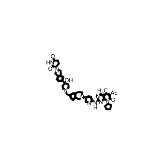 CC(=O)c1c(C)c2cnc(Nc3ccc(N4CCc5cc(CN6CCC(O)(c7ccc8c(c7)CN(C7CCC(=O)NC7=O)C8)CC6)ccc5C4)cn3)nc2n(C2CCCC2)c1=O